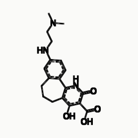 CN(C)CCNc1ccc2c(c1)CCCc1c-2[nH]c(=O)c(C(=O)O)c1O